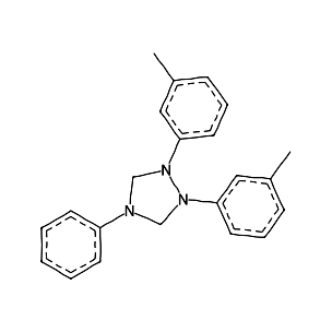 Cc1cccc(N2CN(c3ccccc3)CN2c2cccc(C)c2)c1